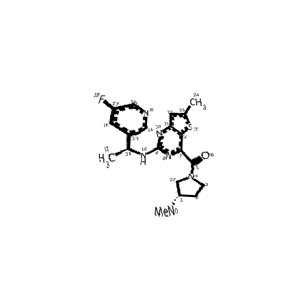 CN[C@H]1CCN(C(=O)c2nc(N[C@@H](C)c3cncc(F)c3)nc3cc(C)sc23)C1